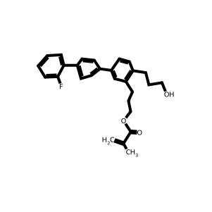 C=C(C)C(=O)OCCCc1cc(-c2ccc(-c3ccccc3F)cc2)ccc1CCCO